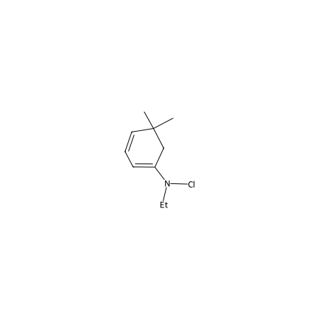 CCN(Cl)C1=CC=CC(C)(C)C1